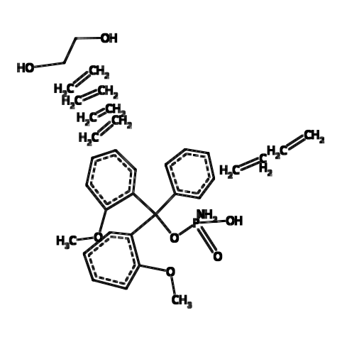 C=C.C=C.C=C.C=C.C=C.C=C.COc1ccccc1C(OP(N)(=O)O)(c1ccccc1)c1ccccc1OC.OCCO